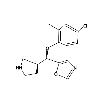 Cc1cc(Cl)ccc1O[C@@H](c1cnco1)[C@H]1CCNC1